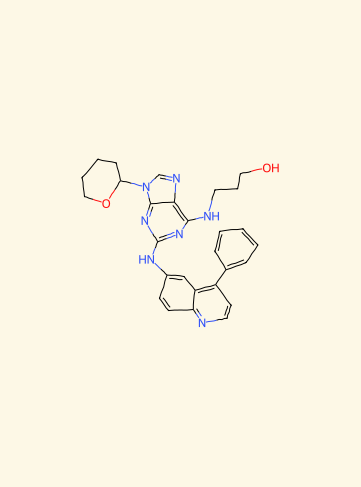 OCCCNc1nc(Nc2ccc3nccc(-c4ccccc4)c3c2)nc2c1ncn2C1CCCCO1